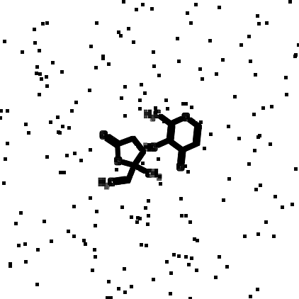 C=CC1(C)CCC(=O)O1.Cc1occc(=O)c1O